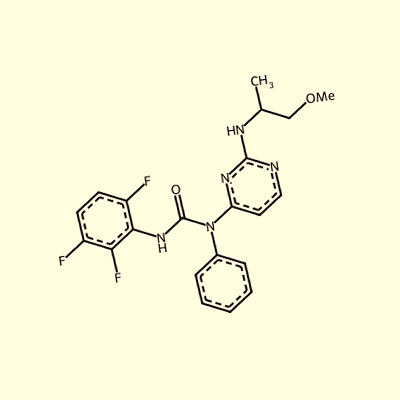 COCC(C)Nc1nccc(N(C(=O)Nc2c(F)ccc(F)c2F)c2ccccc2)n1